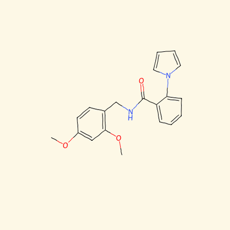 COc1ccc(CNC(=O)c2ccccc2-n2cccc2)c(OC)c1